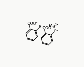 CCc1ccccc1C(=O)[O-].CCc1ccccc1C(=O)[O-].[Mg+2]